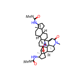 CNC(=O)NC1CC[C@H]2[C@@H]3CCC4N(C)C(=O)C=C(C56CC[C@@H]7[C@@H](CC[C@]8(C)C(NC(=O)NC)CC[C@@H]78)[C@@]5(C)CCC(=O)N6C)[C@]4(C)[C@@H]3CC[C@]12C